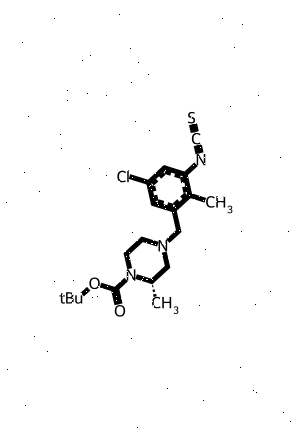 Cc1c(CN2CCN(C(=O)OC(C)(C)C)[C@@H](C)C2)cc(Cl)cc1N=C=S